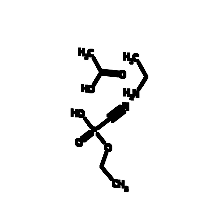 CC(=O)O.CCN.CCOP(=O)(O)C#N